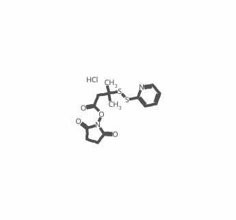 CC(C)(CC(=O)ON1C(=O)CCC1=O)SSc1ccccn1.Cl